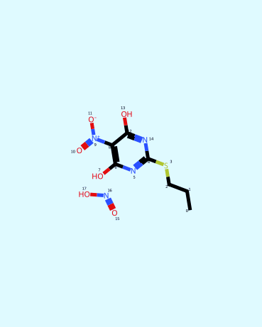 CCCSc1nc(O)c([N+](=O)[O-])c(O)n1.O=NO